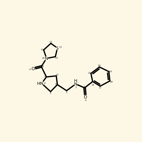 O=C(NCC1CNC(C(=O)N2CCSC2)C1)c1ccccc1